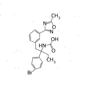 CCC(Cc1cccc(-c2noc(C)n2)c1)(NC(=O)O)c1ccc(Br)cc1